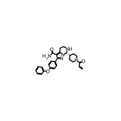 C=CC(=O)N1CCC([C@H]2NCCc3c(C(N)=O)c(-c4ccc(Oc5ccccc5)cc4)nn32)CC1